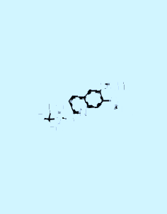 COc1cc2ccc(OS(=O)(=O)C(F)(F)F)nc2cc1OC